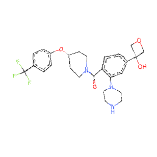 O=C(c1ccc(C2(O)COC2)cc1N1CCNCC1)N1CCC(Oc2ccc(C(F)(F)F)cc2)CC1